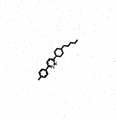 CCCCCC1CCC(c2ccc(-c3ccc(C)cc3)nn2)CC1